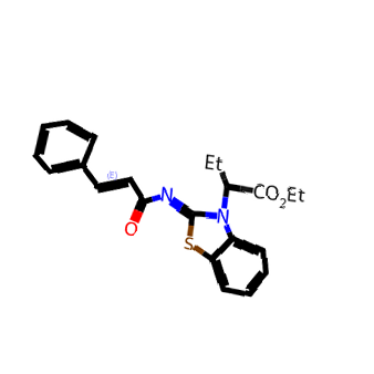 CCOC(=O)C(CC)n1c(=NC(=O)/C=C/c2ccccc2)sc2ccccc21